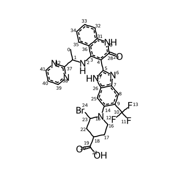 CC(Nc1c(-c2nc3cc(C(F)(F)F)c(N4CCC(C(=O)O)CC4Br)cc3[nH]2)c(=O)[nH]c2ccccc12)c1ncccn1